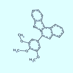 COc1cc(-c2cc3ccccc3c3c4ccccc4nn23)cc(OC)c1OC